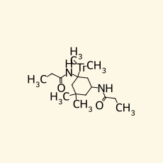 CCC(=O)NC1CC(C)(C)C[C](NC(=O)CC)([Ti]([CH3])[CH3])C1